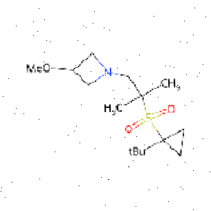 COC1CN(CC(C)(C)S(=O)(=O)C2(C(C)(C)C)CC2)C1